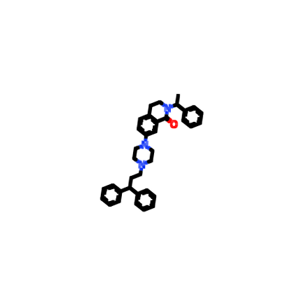 CC(c1ccccc1)N1CCc2ccc(N3CCN(CCC(c4ccccc4)c4ccccc4)CC3)cc2C1=O